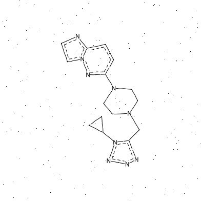 c1cn2nc(N3CCN(Cc4nnnn4C4CC4)CC3)ccc2n1